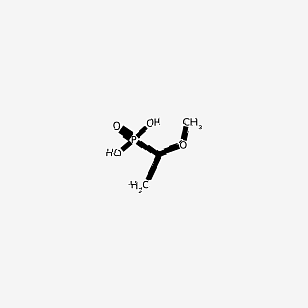 [CH2]C(OC)P(=O)(O)O